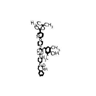 Cc1cc(C[C@@H](OC(=O)N2CCC(N3CCc4ccccc4NC3=O)CC2)C(=O)N2CCN(c3ccc(C(=O)OC(C)C)cn3)CC2)cc(C)c1O